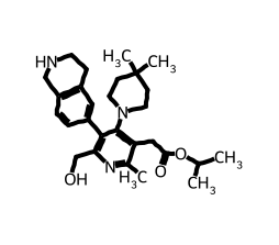 Cc1nc(CO)c(-c2ccc3c(c2)CCNC3)c(N2CCC(C)(C)CC2)c1CC(=O)OC(C)C